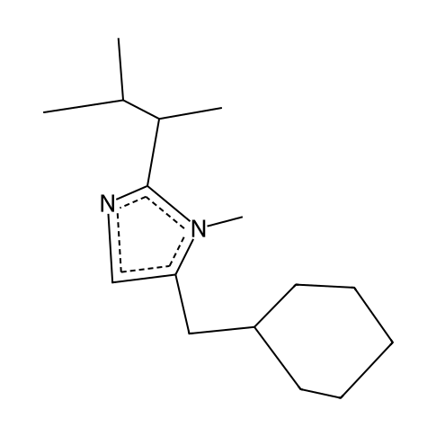 CC(C)C(C)c1ncc(CC2CCCCC2)n1C